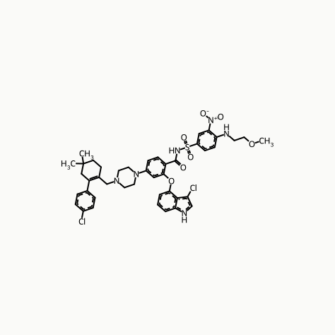 COCCNc1ccc(S(=O)(=O)NC(=O)c2ccc(N3CCN(CC4=C(c5ccc(Cl)cc5)CC(C)(C)CC4)CC3)cc2Oc2cccc3[nH]cc(Cl)c23)cc1[N+](=O)[O-]